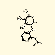 CN(C)Cc1ncccc1O[C@H]1SC[C@@H](O)[C@H](O)[C@H]1O